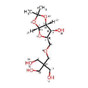 CC1(C)O[C@H]2O[C@H](COCC(CO)(CO)CO)[C@H](O)[C@H]2O1